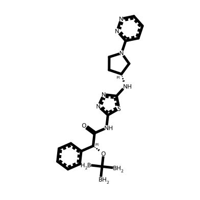 BC(B)(B)O[C@@H](C(=O)Nc1nnc(N[C@@H]2CCN(c3cccnn3)C2)s1)c1ccccc1